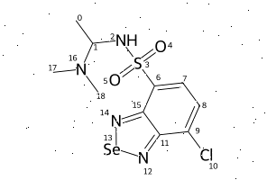 CC(NS(=O)(=O)c1ccc(Cl)c2n[se]nc12)N(C)C